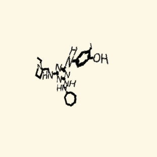 CCN1CCCC1CNc1nc(NNC2CCCCCC2)nc(Nc2ccc(O)c(I)c2)n1